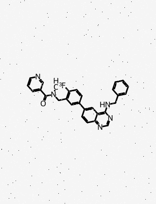 CN(Cc1cc(-c2ccc3ncnc(NCc4ccccc4)c3c2)ccc1F)C(=O)c1cccnc1